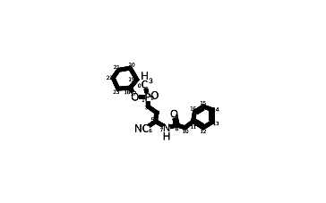 CP(=O)(CCC(C#N)NC(=O)Cc1ccccc1)OC1CCCCC1